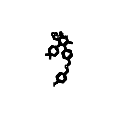 CCOC(=O)Cc1c(C)nc(C)c(-c2ccc(COCc3ccc(F)cc3)cc2)c1N1CCC(C)(C)CC1